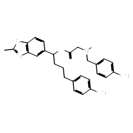 Cc1nc2cc(C(CCCc3ccc(C#N)cc3)OC(=O)CN(Cc3ccc(C#N)cc3)C(=O)O)ccc2[nH]1